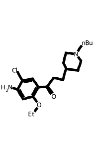 CCCCN1CCC(CCC(=O)c2cc(Cl)c(N)cc2OCC)CC1